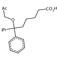 CC(=O)COC(CCCCC(=O)O)(c1ccccc1)C(C)C